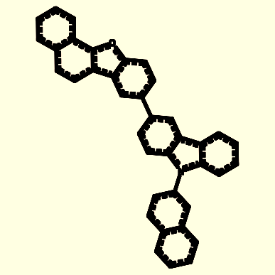 c1ccc2cc(-n3c4ccccc4c4cc(-c5ccc6oc7c8ccccc8ccc7c6c5)ccc43)ccc2c1